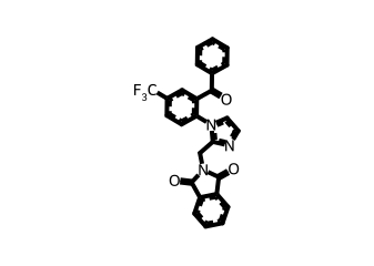 O=C(c1ccccc1)c1cc(C(F)(F)F)ccc1-n1ccnc1CN1C(=O)c2ccccc2C1=O